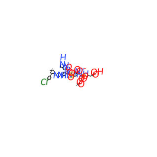 CC1(C)CCC(CN2CCN(c3ccc(C(=O)NS(=O)(=O)c4ccc(NCCP(=O)(OCCCC(C)(C)C(=O)O)OCOC(=O)C(C)(C)C)c([N+](=O)[O-])c4)c(N4CCOc5nc6[nH]ccc6cc54)c3)CC2)=C(c2ccc(Cl)cc2)C1